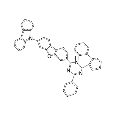 c1ccc(C2=NC(c3ccccc3-c3ccccc3)NC(c3ccc4c(c3)oc3cc(-n5c6ccccc6c6ccccc65)ccc34)=N2)cc1